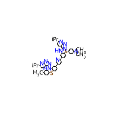 Cc1ccc(Sc2ccc(-c3ccc(-c4ccc(Sc5ccc(N(C)C)cc5)c(Nc5ncnc6nc(C(C)C)ccc56)c4)nc3)cc2Nc2ncnc3nc(C(C)C)ccc23)cc1